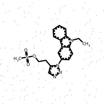 CCn1c2ccccc2c2cc(-n3nncc3CCOS(C)(=O)=O)ccc21